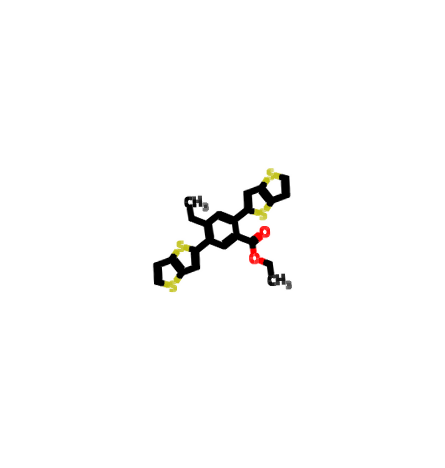 CCOC(=O)c1cc(-c2cc3sccc3s2)c(CC)cc1-c1cc2sccc2s1